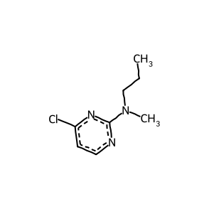 CCCN(C)c1nccc(Cl)n1